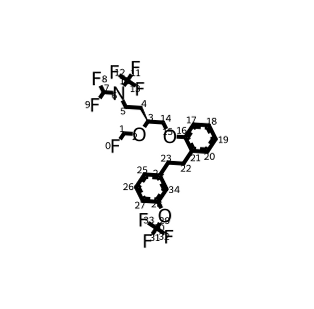 FCO[C@@H](CCN(C(F)F)C(F)(F)F)COc1ccccc1CCc1cccc(OC(F)(F)F)c1